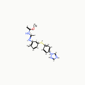 C=C(N/C(C)=N/c1cc(Sc2ccc(-n3cncn3)cc2)ccc1C)OC#N